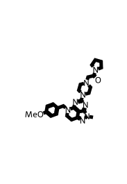 COc1ccc(CN2CCc3nn(C)c4nc(N5CCN(CC(=O)N6CCCC6)CC5)nc2c34)cc1